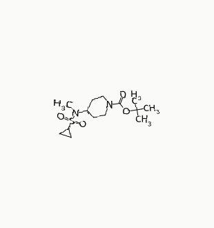 CN(C1CCN(C(=O)OC(C)(C)C)CC1)S(=O)(=O)C1CC1